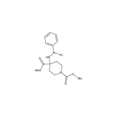 COC(=O)C1(NN(C(C)=O)c2ccccc2)CCN(C(=O)OC(C)(C)C)CC1